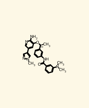 C[C@H](Oc1cc(-c2cnn(C)c2)cnc1N)c1cccc(NC(=O)c2cccc(N(C)C)c2)c1